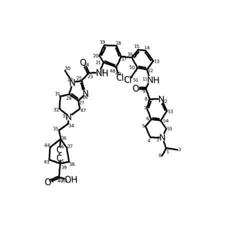 CC(C)N1CCc2cc(C(=O)Nc3cccc(-c4cccc(NC(=O)c5nc6c(n5C)CCN(CCC57CCC(C(=O)O)(CC5)CC7)C6)c4Cl)c3Cl)ncc2C1